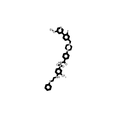 CCOc1cncc(-c2ccc(CN3CCN(c4ccc(C(=O)NS(=O)(=O)c5ccc(NCCSc6ccccc6)c(C(F)(F)F)c5)cc4)CC3)cc2F)c1